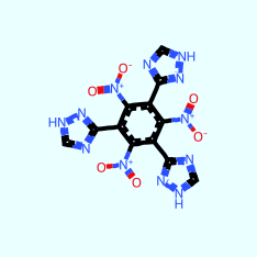 O=[N+]([O-])c1c(-c2nc[nH]n2)c([N+](=O)[O-])c(-c2nc[nH]n2)c([N+](=O)[O-])c1-c1nc[nH]n1